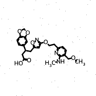 CNc1nc(CCOc2cc(CC(CC(=O)O)c3ccc4c(c3)OCO4)on2)ccc1COC